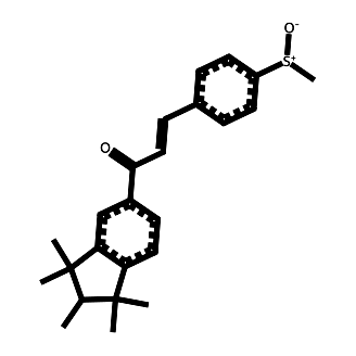 CC1C(C)(C)c2ccc(C(=O)C=Cc3ccc([S+](C)[O-])cc3)cc2C1(C)C